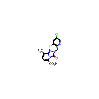 O=C(O)c1ccc(C(F)(F)F)c2nn(Cc3ncc(Cl)cc3F)c(=O)n12